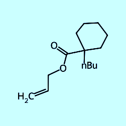 C=CCOC(=O)C1(CCCC)CCCCC1